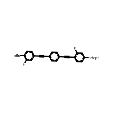 CCCCCCCc1ccc(C#Cc2ccc(C#Cc3ccc(CCCC)c(F)c3)cc2)c(F)c1